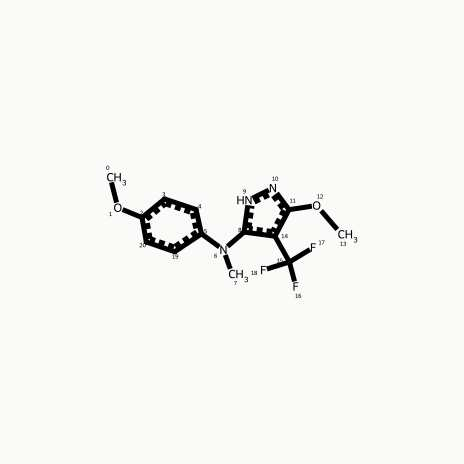 COc1ccc(N(C)c2[nH]nc(OC)c2C(F)(F)F)cc1